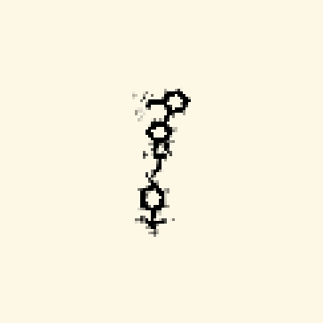 CC(C)c1ccccc1-c1ccc2[nH]c(COc3ccc(C(F)(F)F)cc3)nc2c1